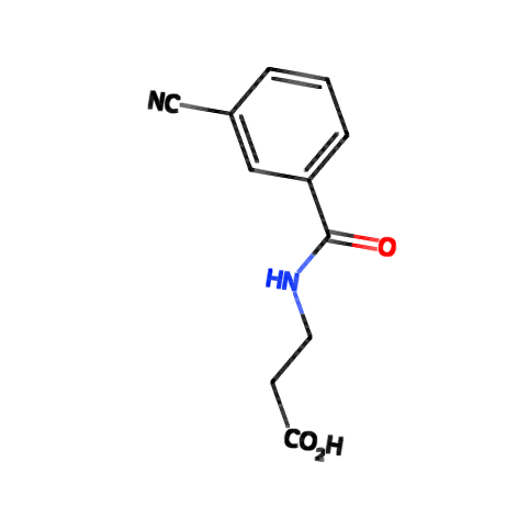 N#Cc1cccc(C(=O)NCCC(=O)O)c1